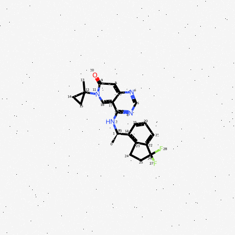 C[C@@H](Nc1ncnc2cc(=O)n(C3(C)CC3)cc12)c1cccc2c1CCC2(F)F